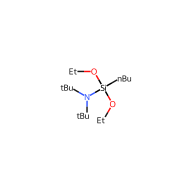 CCCC[Si](OCC)(OCC)N(C(C)(C)C)C(C)(C)C